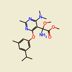 COC(=O)C(N)(OC)c1c(Oc2cc(C)cc(C(C)C)c2)nc(C)nc1N(C)C